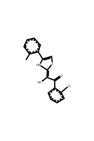 Cc1ccccc1C1=CSC(=C(C#N)C(=O)c2ccccc2Cl)N1